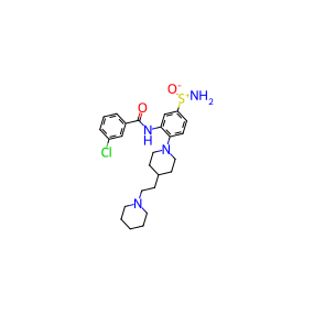 N[S+]([O-])c1ccc(N2CCC(CCN3CCCCC3)CC2)c(NC(=O)c2cccc(Cl)c2)c1